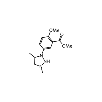 COC(=O)c1cc(N2NN(C)CC2C)ccc1OC